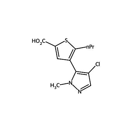 CCCc1sc(C(=O)O)cc1-c1c(Cl)cnn1C